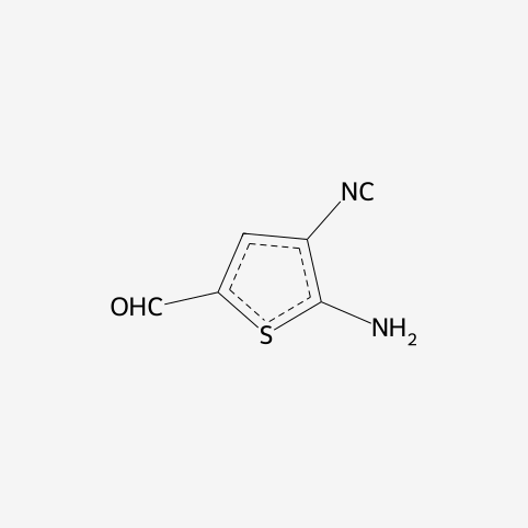 [C-]#[N+]c1cc(C=O)sc1N